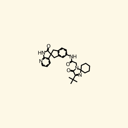 CC(C)(C)C1=NC2(CCCCC2)N(CC(=O)Nc2ccc3c(c2)CC2(C3)C(=O)Nc3ncccc32)C1=O